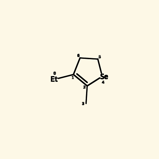 CCC1=C(C)[Se]CC1